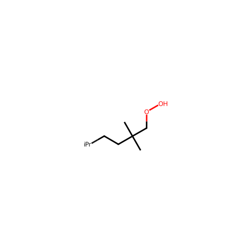 CC(C)CCC(C)(C)COO